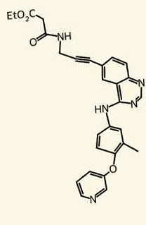 CCOC(=O)CC(=O)NCC#Cc1ccc2ncnc(Nc3ccc(Oc4cccnc4)c(C)c3)c2c1